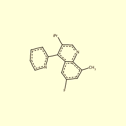 Cc1cc(F)cc2c(-c3ccccn3)c(C(C)C)cnc12